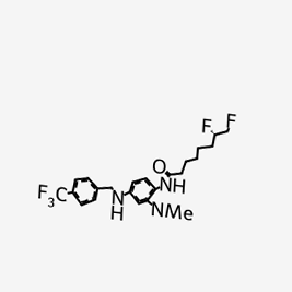 CNc1cc(NCc2ccc(C(F)(F)F)cc2)ccc1NC(=O)CCCCC[C@H](F)CF